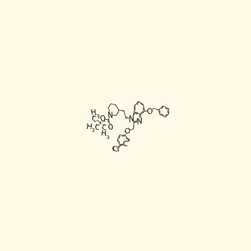 CC(C)(C)OC(=O)N1CCCC(CCn2c(COc3ccc(Cl)cc3)nc3c(OCc4ccccc4)cccc32)C1